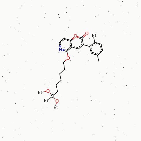 CCO[Si](CC)(CCCCCCOc1nccc2oc(=O)c(-c3cc(C)ccc3CC)cc12)OCC